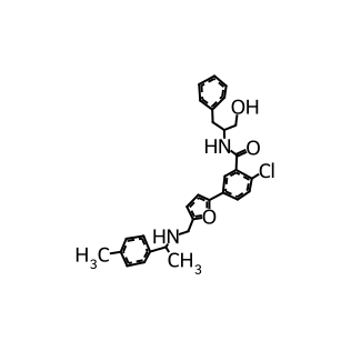 Cc1ccc(C(C)NCc2ccc(-c3ccc(Cl)c(C(=O)NC(CO)Cc4ccccc4)c3)o2)cc1